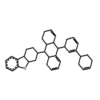 C1=CCC2C(=C1)C(C1C=C(C3CC=CCC3)C=CC1)C1C=CCCC1C2C1CCC2c3ccccc3OC2C1